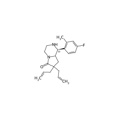 C=CCC1(CC=C)CC2[C@H](c3ccc(F)cc3C)NCCN2C1=O